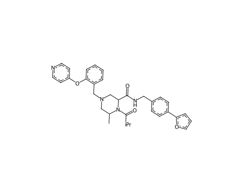 CC(C)C(=O)N1C(C)CN(Cc2ccccc2Oc2ccncc2)CC1C(=O)NCc1ccc(-c2ccco2)cc1